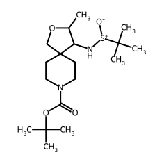 CC1OCC2(CCN(C(=O)OC(C)(C)C)CC2)C1N[S+]([O-])C(C)(C)C